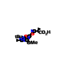 COc1ccc(C(=O)N(CC(C)(C)C)c2nccc(C3CC3)n2)c(N2CCC(COc3cc(C(CC(=O)O)C4CC4)ccn3)CC2)c1